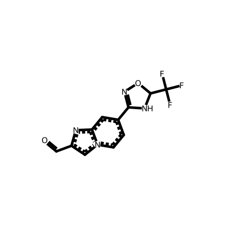 O=Cc1cn2ccc(C3=NOC(C(F)(F)F)N3)cc2n1